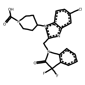 O=C(O)N1CCC(n2c(CN3C(=O)C(F)(F)c4ccccc43)nc3cc(Cl)ccc32)CC1